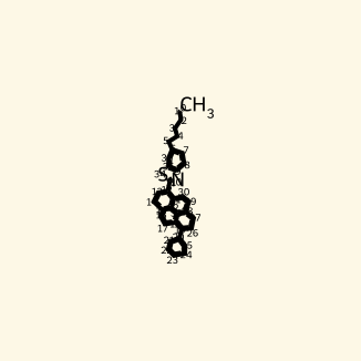 CCCCCCc1ccc2nc(-c3ccc4ccc5c(-c6ccccc6)ccc6ccc3c4c65)sc2c1